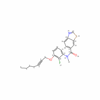 CCCCC#CCOc1cccc(N(C)C(=O)c2ccc3ncsc3c2)c1F